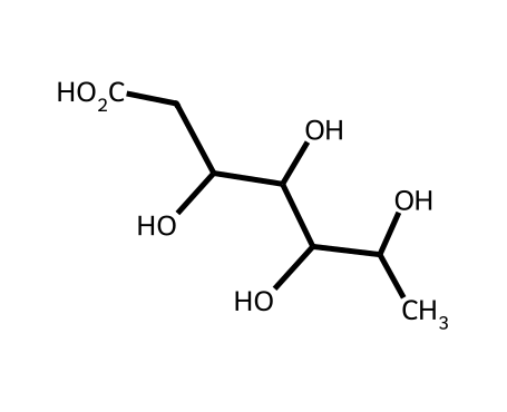 CC(O)C(O)C(O)C(O)CC(=O)O